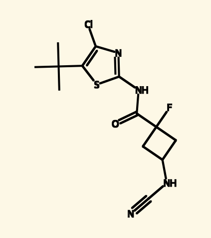 CC(C)(C)c1sc(NC(=O)C2(F)CC(NC#N)C2)nc1Cl